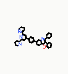 c1ccc(-c2nc3cc(-c4ccc(-c5cc(-c6ccccn6)nc(-c6ccccn6)c5)cc4)ccc3c3oc4ccccc4c23)cc1